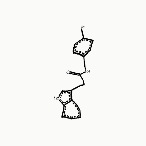 CC(C)c1ccc(NC(=O)Cc2c[nH]c3ccccc23)cc1